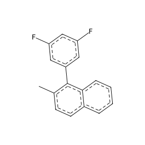 Cc1ccc2ccccc2c1-c1cc(F)cc(F)c1